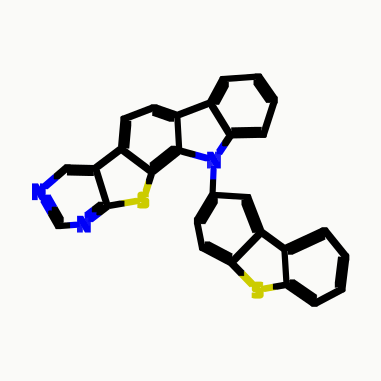 c1ccc2c(c1)sc1ccc(-n3c4ccccc4c4ccc5c6cncnc6sc5c43)cc12